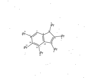 CC(C)C1=C(C(C)C)C(C(C)C)c2cc(C(C)C)c(C(C)C)c(C(C)C)c21